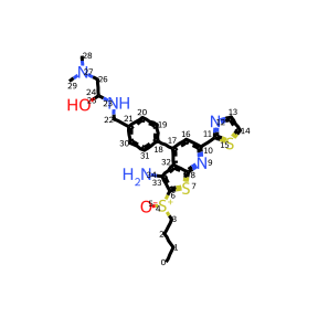 CCCC[S+]([O-])c1sc2nc(-c3nccs3)cc(-c3ccc(CNC(O)CN(C)C)cc3)c2c1N